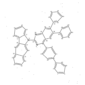 c1ccc(-c2ccc(-c3nc(-n4c5ccccc5c5cc6ccccc6cc54)nc4cc(-c5ccccc5)c(-c5ccccc5)cc34)cc2)cc1